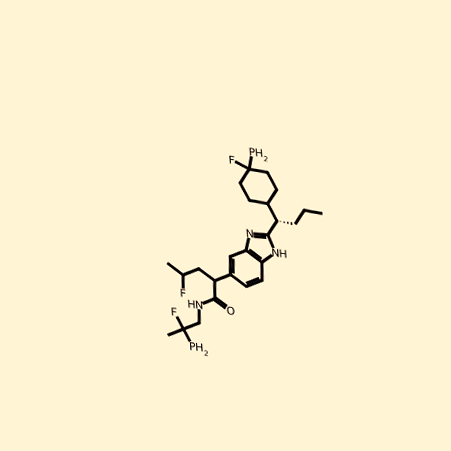 CCC[C@H](c1nc2cc(C(CC(C)F)C(=O)NCC(C)(F)P)ccc2[nH]1)C1CCC(F)(P)CC1